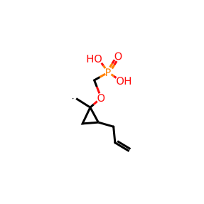 [CH2]C1(OCP(=O)(O)O)CC1CC=C